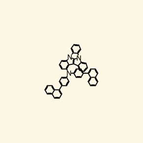 c1ccc2c(-c3ccc(N(c4ccc(-c5cccc6ccccc56)cc4)c4cccc5c4c4c6ccccc6n6c7ccccc7n5c46)cc3)cccc2c1